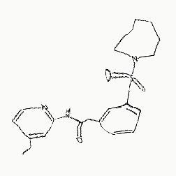 Cc1ccnc(NC(=O)c2cccc(S(=O)(=O)N3CCCCCC3)c2)c1